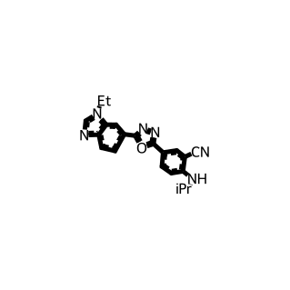 CCn1cnc2ccc(-c3nnc(-c4ccc(NC(C)C)c(C#N)c4)o3)cc21